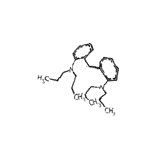 CCCN(CCC)c1ccccc1[CH]c1ccccc1N(CCC)CCC